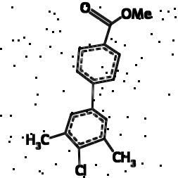 COC(=O)c1ccc(-c2cc(C)c(Cl)c(C)c2)cc1